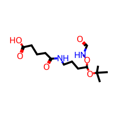 CC(C)(C)OC(CCCNC(=O)CCCC(=O)O)ONC=O